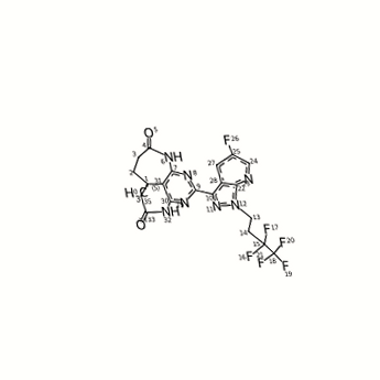 C[C@@]12CCC(=O)Nc3nc(-c4nn(CCC(F)(F)C(F)(F)F)c5ncc(F)cc45)nc(c31)NC(=O)C2